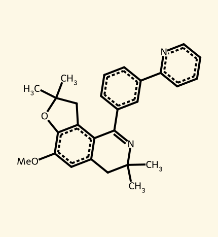 COc1cc2c(c3c1OC(C)(C)C3)C(c1cccc(-c3ccccn3)c1)=NC(C)(C)C2